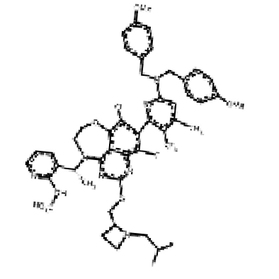 COc1ccc(CN(Cc2ccc(OC)cc2)c2cc(C)c(C(F)(F)F)c(-c3c(Cl)c4c5c(nc(OC[C@@H]6CCN6CC(F)F)nc5c3F)N([C@H](C)c3cccnc3NC(=O)O)CCO4)n2)cc1